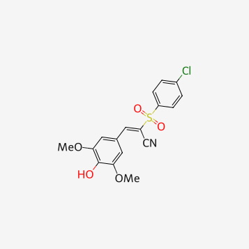 COc1cc(/C=C(\C#N)S(=O)(=O)c2ccc(Cl)cc2)cc(OC)c1O